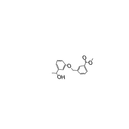 COC(=O)c1cccc(COc2cccc(C(C)O)c2)c1